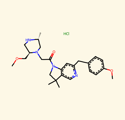 COC[C@H]1CN[C@H](C)CN1CC(=O)N1CC(C)(C)c2cnc(Cc3ccc(OC)cc3)cc21.Cl